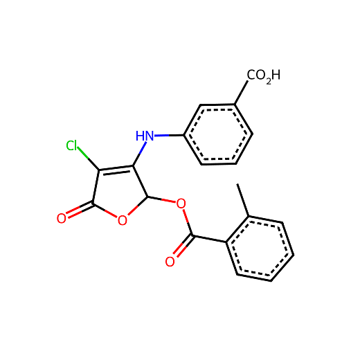 Cc1ccccc1C(=O)OC1OC(=O)C(Cl)=C1Nc1cccc(C(=O)O)c1